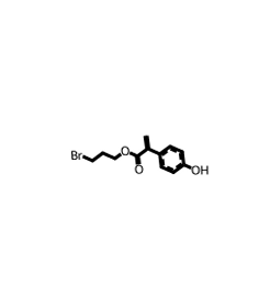 C=C(C(=O)OCCCBr)c1ccc(O)cc1